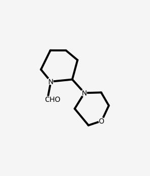 O=CN1CCCCC1N1CCOCC1